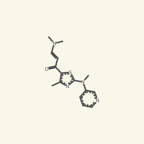 Cc1nc(N(C)c2cccnc2)sc1C(=O)C=CN(C)C